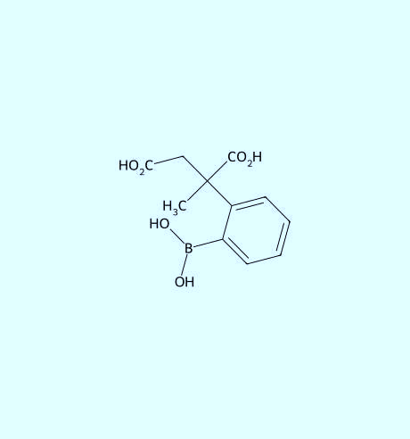 CC(CC(=O)O)(C(=O)O)c1ccccc1B(O)O